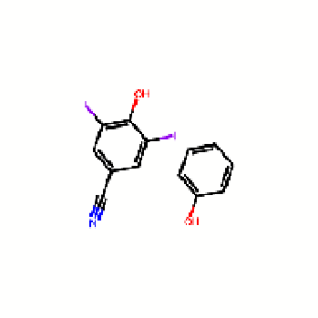 N#Cc1cc(I)c(O)c(I)c1.Oc1ccccc1